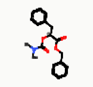 CCCCN(CC)C(=O)O[C@@H](Cc1ccccc1)C(=O)OCc1ccccc1